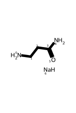 NCCC(N)=O.[NaH]